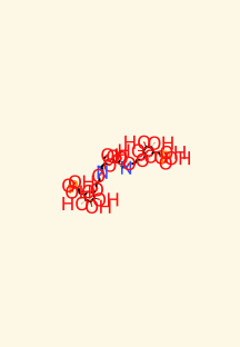 CC1(C)O[C@H](O[C@@H](/C=N/OCCOC2O[C@H](CCP(=O)(O)O)[C@@H](O)[C@H](O)[C@@H]2O)CO)[C@@H](/C=N\OCCOC2O[C@H](COP(=O)(O)O)[C@@H](O)[C@H](O)[C@@H]2O)O1